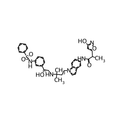 CC(C(=O)Nc1ccc2c(ccn2CCC(C)(C)NC[C@H](O)c2cccc(NS(=O)(=O)c3ccccc3)c2)c1)c1cc(O)no1